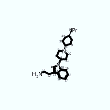 CC(C)[C@H]1CC[C@@H](N2CCC(n3cc(CCN)c4ccccc43)CC2)CC1